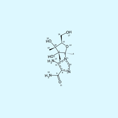 C[C@]1(O)[C@](C)(n2cnc(C(N)=O)c2N)O[C@H](CO)[C@@]1(C)O